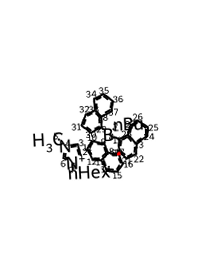 CCCCCC[n+]1ccn(C)c1.CCCC[B-](c1cccc2ccccc12)(c1cccc2ccccc12)c1cccc2ccccc12